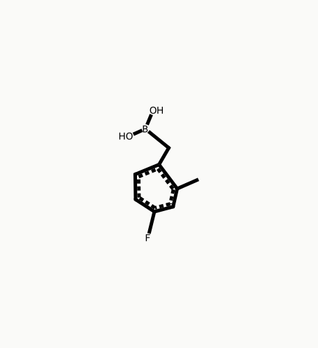 Cc1cc(F)ccc1CB(O)O